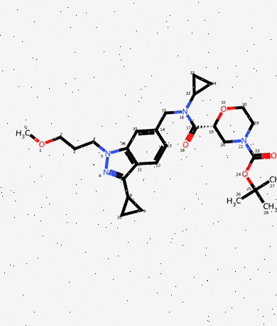 COCCCn1nc(C2CC2)c2ccc(CN(C(=O)[C@H]3CN(C(=O)OC(C)(C)C)CCO3)C3CC3)cc21